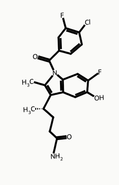 Cc1c([C@@H](C)CCC(N)=O)c2cc(O)c(F)cc2n1C(=O)c1ccc(Cl)c(F)c1